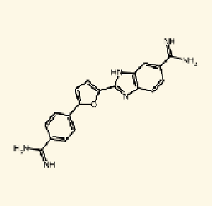 N=C(N)c1ccc(-c2ccc(-c3nc4ccc(C(=N)N)cc4[nH]3)o2)cc1